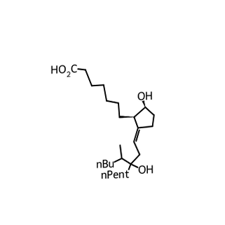 CCCCCC(O)(CC=C1CC[C@H](O)[C@@H]1CCCCCCC(=O)O)C(C)CCCC